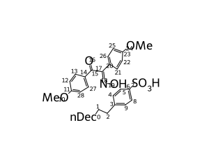 CCCCCCCCCCCCc1ccc(S(=O)(=O)O)cc1.COc1ccc(C(=O)C(=NO)c2ccc(OC)cc2)cc1